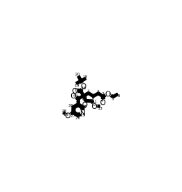 CCOC(=O)CCCC(C(=O)COC)(C(=O)OC(C)(C)C)C(=O)c1cncc(OC)c1